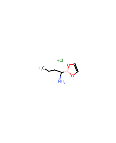 CCCC(N)B1OC=CO1.Cl